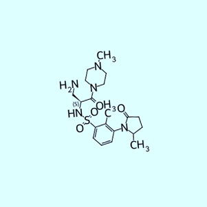 Cc1c(N2C(=O)CCC2C)cccc1S(=O)(=O)N[C@@H](CN)C(=O)N1CCN(C)CC1